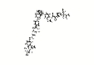 Cc1cc(-c2n[nH]c3ncc(-c4ccc(N5CCN(CCCOc6ccc(N7CCC(=O)NC7=O)c(C)c6)CC5)cc4)cc23)ccc1CNC(=O)c1noc(C(C)(C)C)n1